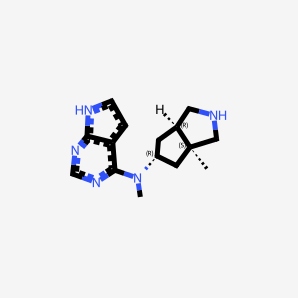 CN(c1ncnc2[nH]ccc12)[C@@H]1C[C@H]2CNC[C@@]2(C)C1